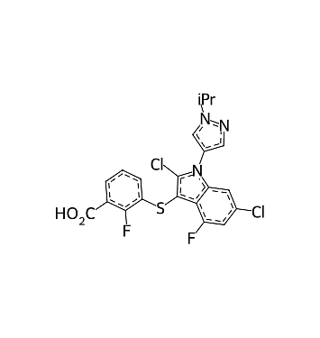 CC(C)n1cc(-n2c(Cl)c(Sc3cccc(C(=O)O)c3F)c3c(F)cc(Cl)cc32)cn1